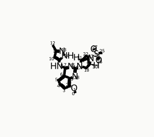 COc1cccc2c(Nc3cc(C)n[nH]3)nc(N3C[C@@H]4C[C@H]3CN4S(C)(=O)=O)nc12